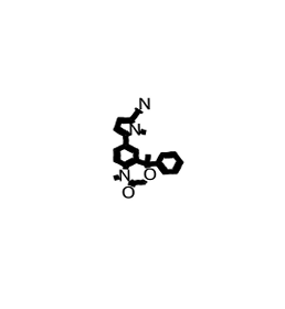 CN1C(=O)COC(C)(c2ccccc2)c2cc(-c3ccc(C#N)n3C)ccc21